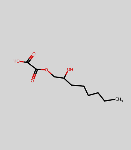 CCCCCCC(O)COC(=O)C(=O)O